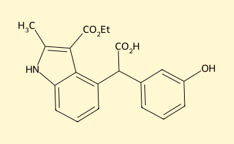 CCOC(=O)c1c(C)[nH]c2cccc(C(C(=O)O)c3cccc(O)c3)c12